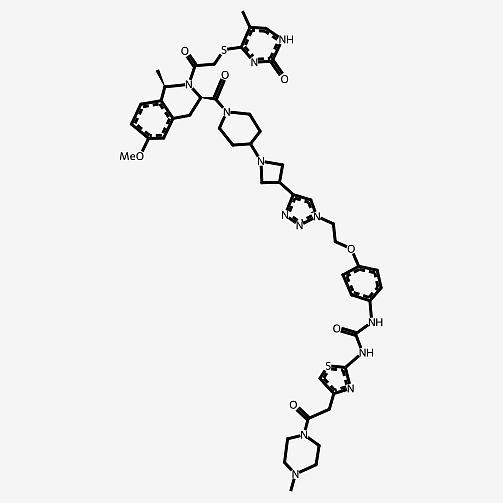 COc1ccc2c(c1)C[C@H](C(=O)N1CCC(N3CC(c4cn(CCOc5ccc(NC(=O)Nc6nc(CC(=O)N7CCN(C)CC7)cs6)cc5)nn4)C3)CC1)N(C(=O)CSc1nc(=O)[nH]cc1C)[C@@H]2C